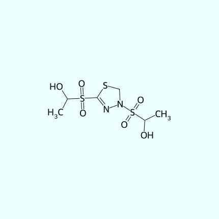 CC(O)S(=O)(=O)C1=NN(S(=O)(=O)C(C)O)CS1